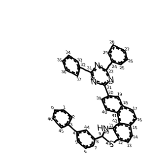 c1ccc(-c2cccc(C3Nc4c(ccc5ccc6cc(-c7nc(-c8ccccc8)nc(-c8ccccc8)n7)ccc6c45)S3)c2)cc1